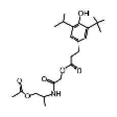 CC(=O)OCC(C)NC(=O)COC(=O)CCc1cc(C(C)C)c(O)c(C(C)(C)C)c1